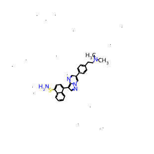 CN(C)CCc1ccc(-c2cnc3c(-c4ccc(SN)c5ccccc45)cnn3c2)cc1